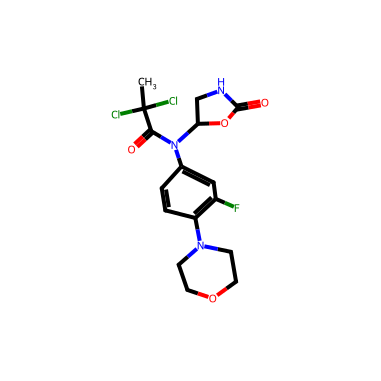 CC(Cl)(Cl)C(=O)N(c1ccc(N2CCOCC2)c(F)c1)C1CNC(=O)O1